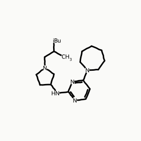 CCC(C)C(C)CN1CCC(Nc2nccc(N3CCCCCC3)n2)C1